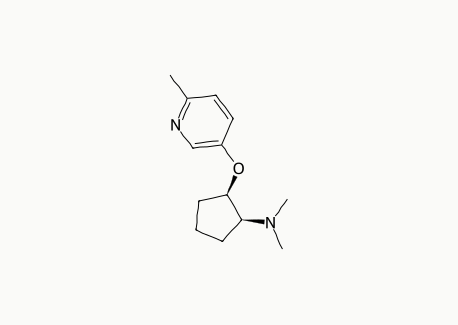 Cc1ccc(O[C@@H]2CCC[C@@H]2N(C)C)cn1